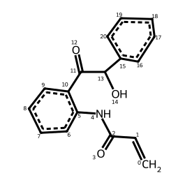 C=CC(=O)Nc1ccccc1C(=O)C(O)c1ccccc1